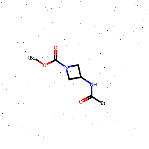 CCC(=O)NC1CN(C(=O)OC(C)(C)C)C1